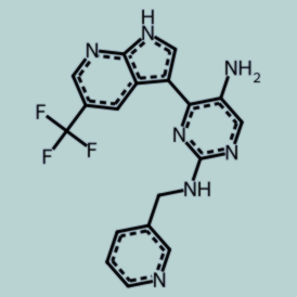 Nc1cnc(NCc2cccnc2)nc1-c1c[nH]c2ncc(C(F)(F)F)cc12